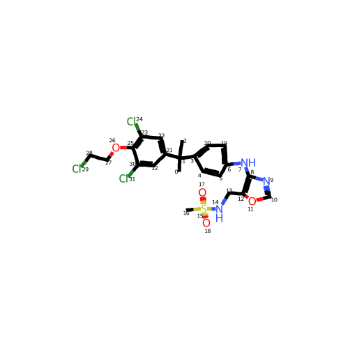 CC(C)(c1ccc(Nc2ncoc2CNS(C)(=O)=O)cc1)c1cc(Cl)c(OCCCl)c(Cl)c1